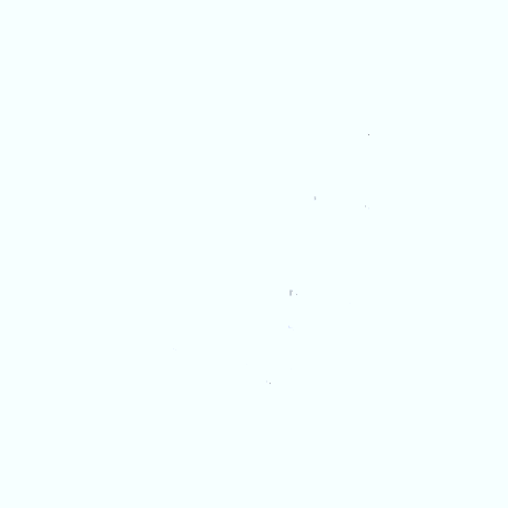 CCOC(=O)c1ccc2c(c1)NC(=O)/C2=C(/Nc1ccc(N(C)C(=O)CN(C)C)c(Br)c1)c1ccccc1